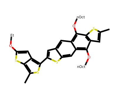 CCCCCCCCOc1c2cc3sc(-c4sc(C)c5sc(OCC)cc45)cc3cc2c(OCCCCCCCC)c2sc(C)cc12